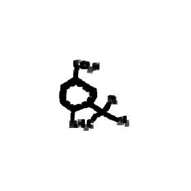 CCc1ccc(C(=O)O)cc1C(C)(C)CC